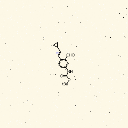 CC(C)(C)OC(=O)Nc1ccc(/C=C/C2CC2)c(C=O)n1